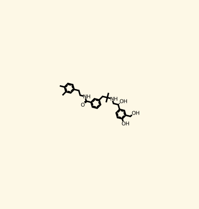 Cc1ccc(CCNC(=O)c2cccc(CC(C)(C)NC[C@H](O)c3ccc(O)c(CO)c3)c2)cc1C